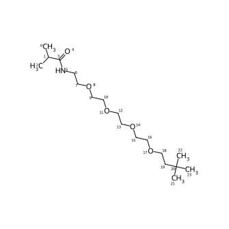 CC(C)C(=O)NCCOCCOCCOCCOCCC(C)(C)C